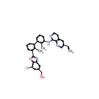 C=Cc1cnc2c(Nc3cccc(-c4cccc(-c5nc6cc(CO)cc(Cl)c6o5)c4C)c3C)nccc2c1